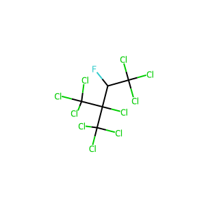 FC(C(Cl)(Cl)Cl)C(Cl)(C(Cl)(Cl)Cl)C(Cl)(Cl)Cl